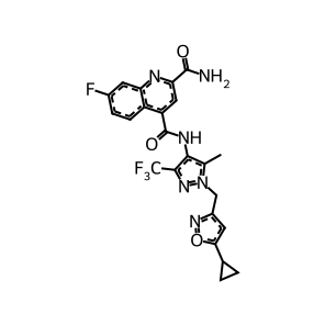 Cc1c(NC(=O)c2cc(C(N)=O)nc3cc(F)ccc23)c(C(F)(F)F)nn1Cc1cc(C2CC2)on1